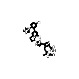 Cc1oc(=O)oc1Cc1c(-c2cnc([C@@H]3CCc4cc(-c5cc(Cl)ccc5-n5cnnn5)cc(=O)n43)[nH]2)csc1C(=O)O